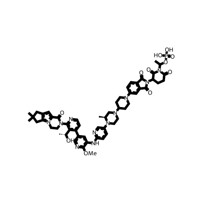 COc1ncc(-c2ccnc(N3CCn4c(cc5c4CC(C)(C)C5)C3=O)c2[C@@H](C)O)cc1Nc1ccc(N2CCN(C3CCN(c4ccc5c(c4)C(=O)N(C4CCC(=O)N(C(C)OP(=O)(O)O)C4=O)C5=O)CC3)C[C@@H]2C)cn1